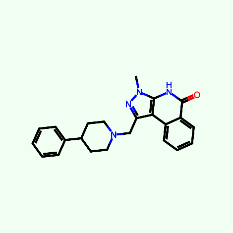 Cn1nc(CN2CCC(c3ccccc3)CC2)c2c3ccccc3c(=O)[nH]c21